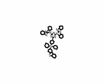 c1ccc([Si](c2ccccc2)(c2ccc(-c3nc(-n4c5ccccc5n5c6ccccc6nc45)nc(-n4c5ccccc5n5c6ccccc6nc45)n3)cc2)c2ccc3sc4ccccc4c3c2)cc1